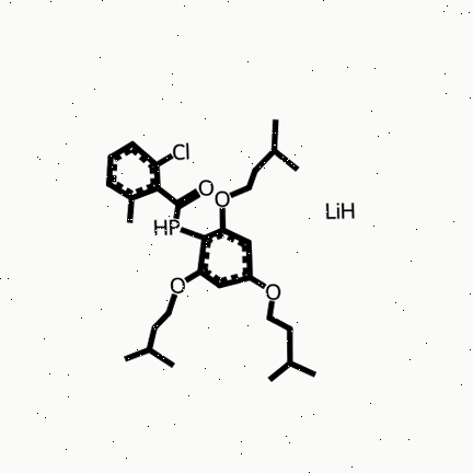 Cc1cccc(Cl)c1C(=O)Pc1c(OCCC(C)C)cc(OCCC(C)C)cc1OCCC(C)C.[LiH]